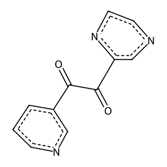 O=C(C(=O)c1cnccn1)c1cccnc1